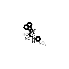 Cn1nc(C(O)=C(C#N)C(=O)Nc2cccc([N+](=O)[O-])c2)c2c1-c1cccc3c1C2CCC3